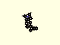 Cc1ccc(N(c2ccc(C)cc2)c2c3ccccc3c(-c3ccc4c(c3)[Si](c3ccccc3)(c3ccccc3)c3cc5c6ccccc6c6cc7ccccc7cc6c5cc3-4)c3ccccc23)cc1